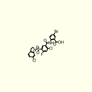 O=C(Nc1ccc(Br)cc1C(=O)O)c1cc(S(=O)(=O)N2CCc3ccc(Cl)cc32)c(F)cc1Cl